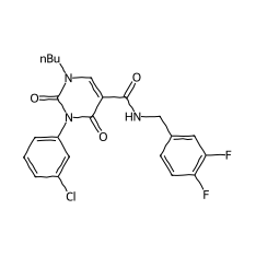 CCCCn1cc(C(=O)NCc2ccc(F)c(F)c2)c(=O)n(-c2cccc(Cl)c2)c1=O